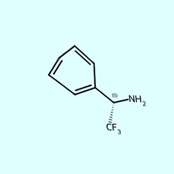 N[C@@H](c1ccccc1)C(F)(F)F